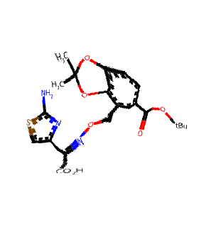 CC(C)(C)OC(=O)c1ccc2c(c1CON=C(C(=O)O)c1csc(N)n1)OC(C)(C)O2